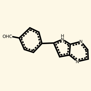 O=Cc1ccc(-c2cc3nccnc3[nH]2)cc1